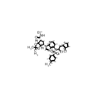 CCNC(=O)[C@@H]1C[C@H](n2cnc3c(N(C(CC)Cc4sccc4Cl)S(=O)(=O)c4ccc(C)cc4)ccnc32)[C@H]2OC(C)(C)O[C@@H]21